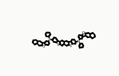 c1ccc(N(c2ccc3c(c2)sc2cc4cc5sc6cc(N(c7ccccc7)c7ccc8oc9cc%10ccccc%10cc9c8c7)ccc6c5cc4cc23)c2ccc3oc4cc5ccccc5cc4c3c2)cc1